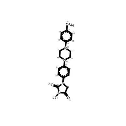 CCN1C(=O)CN(c2ccc(N3CCN(c4ccc(OC)cc4)CC3)cc2)C1=O